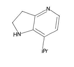 CC(C)c1ccnc2c1NCC2